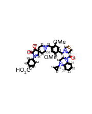 COc1cc(CN2CSC[C@@H]2C(=O)N2CCN(C3CC3)c3ccccc32)c(OC)cc1CN1CCC2(CC1)CN(c1ccc(C(=O)O)cc1)C(=O)C2=O